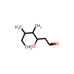 CCC(C)C(C)C(O)CC=O